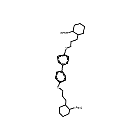 CCCCCC1CCCCC1CCCOc1ccc(-c2ccc(OCCCC3CCCCC3CCCCC)cc2)cc1